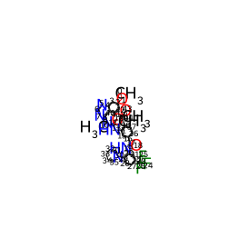 COc1cc2ncnc(N(C)C(=O)Nc3cc(C(=O)Nc4cc(C(F)(F)F)ccc4N4CCCCC4)ccc3C)c2cc1OC